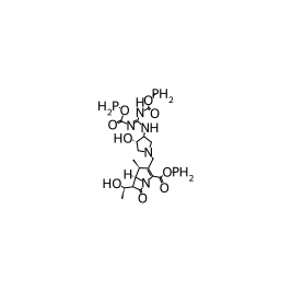 C[C@@H](O)C1C(=O)N2C(C(=O)OP)=C(CN3C[C@H](NC(=NC(=O)OP)NC(=O)OP)[C@@H](O)C3)[C@H](C)[C@H]12